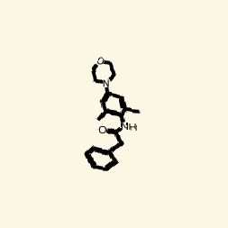 Cc1cc(N2CCOCC2)cc(C)c1NC(=O)Cc1ccccc1